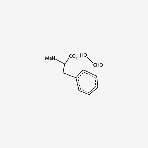 CNC(Cc1ccccc1)C(=O)O.O=CO